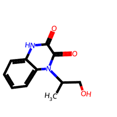 CC(CO)n1c(=O)c(=O)[nH]c2ccccc21